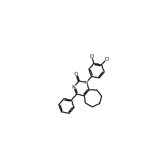 O=c1nc(-c2ccccc2)c2c(n1-c1ccc(Cl)c(Cl)c1)CCCCC2